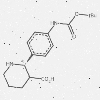 CC(C)(C)OC(=O)Nc1ccc([C@@H]2NCCCC2C(=O)O)cc1